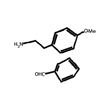 COc1ccc(CCN)cc1.O=Cc1ccccc1